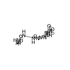 CC(=O)c1c(C)c2cnc(Nc3ccc(N4CCN(CC(=O)NCCCCCCNc5cccc(C(=O)Nc6nc(C)c(C)s6)c5C)CC4)cn3)nc2n(C2CCCC2)c1=O